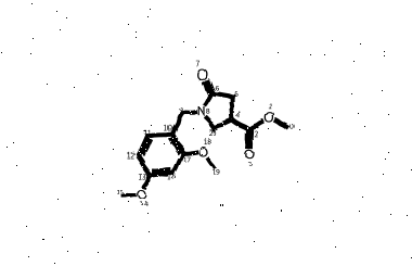 COC(=O)C1CC(=O)N(Cc2ccc(OC)cc2OC)C1